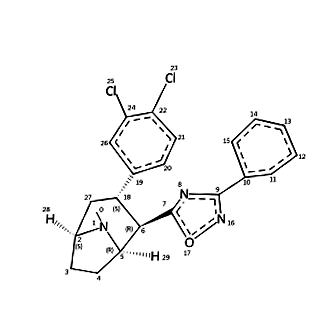 CN1[C@H]2CC[C@@H]1[C@H](c1nc(-c3ccccc3)no1)[C@@H](c1ccc(Cl)c(Cl)c1)C2